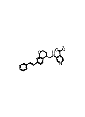 COC(=O)c1ccncc1NC[C@@H]1CCOc2cc(C=Cc3ccccc3)ccc21